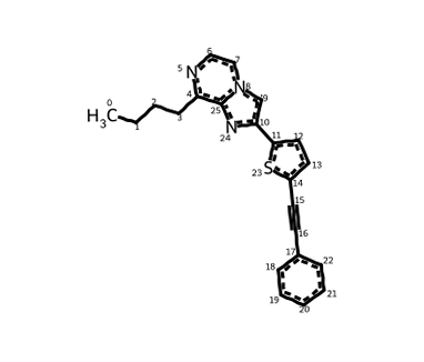 CCCCc1nccn2[c]c(-c3ccc(C#Cc4ccccc4)s3)nc12